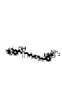 CC1(C)OCc2cc([C@H](O)CNCCCCCCOCCCCc3cccc(NC(N)=O)c3)ccc2O1